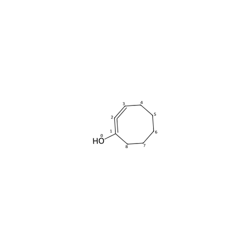 OC1=C=CCCCCC1